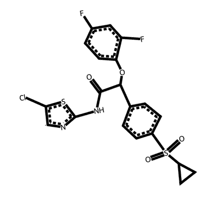 O=C(Nc1n[c]c(Cl)s1)C(Oc1ccc(F)cc1F)c1ccc(S(=O)(=O)C2CC2)cc1